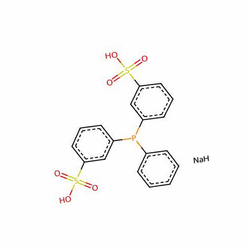 O=S(=O)(O)c1cccc(P(c2ccccc2)c2cccc(S(=O)(=O)O)c2)c1.[NaH]